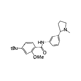 COc1cc(C(C)(C)C)ccc1C(=O)Nc1cccc(C2CCCN2C)c1